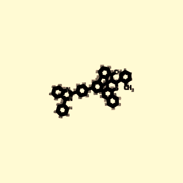 CCC1=C(c2ccccc2C)Sc2c(ccc3ccccc23)C12c1ccccc1-c1cc(-c3ccc(-c4nc(-c5ccccc5)c5ccccc5n4)cc3)ccc12